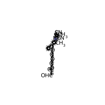 Cc1cc(N(CCOCCOCCOCCOCCOC(=O)CCCC=O)Cc2ccccc2)ccc1/N=N/c1sc(C#N)c(C)c1C#N